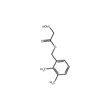 CCCCCCCCCC(=O)OCc1cccc(C)c1C